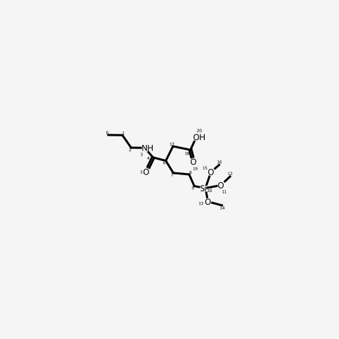 CCCNC(=O)C(CCC[Si](OC)(OC)OC)CC(=O)O